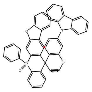 O=P1(c2ccccc2)c2ccccc2C2(c3ccccc3Sc3cc(-n4c5ccccc5c5ccccc54)ccc32)c2cc3c(cc21)oc1ccccc13